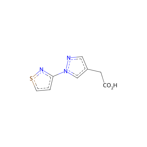 O=C(O)Cc1cnn(-c2ccsn2)c1